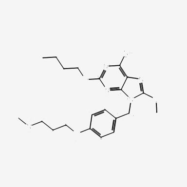 CCCCOc1nc(N)c2nc(OC)n(Cc3ccc(OCCCNC)cc3)c2n1